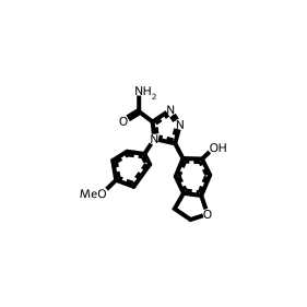 COc1ccc(-n2c(C(N)=O)nnc2-c2cc3c(cc2O)OCC3)cc1